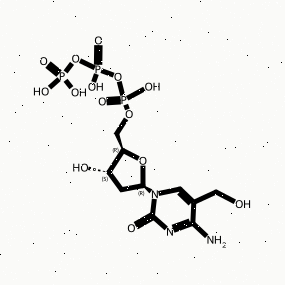 Nc1nc(=O)n([C@H]2C[C@H](O)[C@@H](COP(=O)(O)OP(=O)(O)OP(=O)(O)O)O2)cc1CO